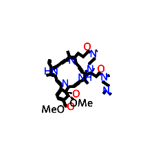 C=Cc1c(C)c2cc3nc(cc4[nH]c(cc5nc(cc1[nH]2)C(C)=C5CCC(=O)N(C)CCN(C)C)c(CCC(=O)N(C)CCN(C)C)c4C)[C@@]1(C)C3=CC=C(C(=O)OC)[C@H]1C(=O)OC